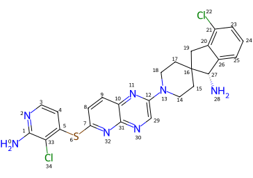 Nc1nccc(Sc2ccc3nc(N4CCC5(CC4)Cc4c(Cl)cccc4[C@@H]5N)cnc3n2)c1Cl